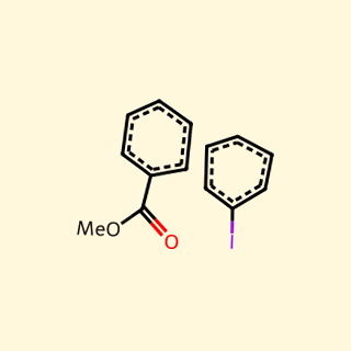 COC(=O)c1ccccc1.Ic1ccccc1